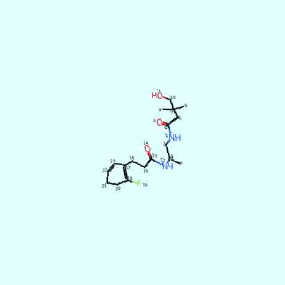 C[C@H](CNC(=O)CC(C)(C)CO)NC(=O)CCC1=C(F)CCC=C1